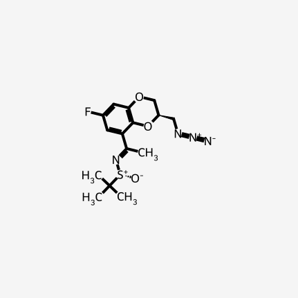 C/C(=N\[S@+]([O-])C(C)(C)C)c1cc(F)cc2c1O[C@H](CN=[N+]=[N-])CO2